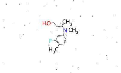 C=C(CCO)N(C)c1ccc(C)c(F)c1